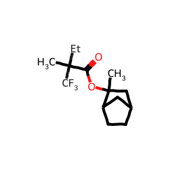 CCC(C)(C(=O)OC1(C)CC2CCC1C2)C(F)(F)F